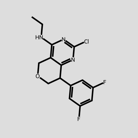 CCNc1nc(Cl)nc2c1COCC2c1cc(F)cc(F)c1